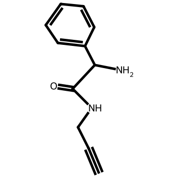 C#CCNC(=O)C(N)c1ccccc1